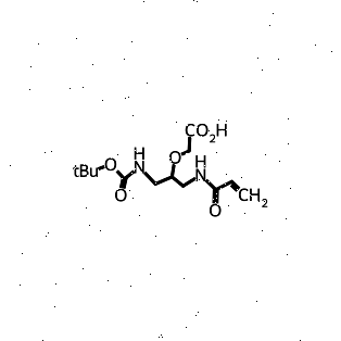 C=CC(=O)NCC(CNC(=O)OC(C)(C)C)OCC(=O)O